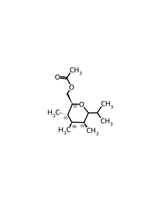 CC(=O)OC[C@H]1OC(C(C)C)[C@@H](C)[C@@H](C)[C@@H]1C